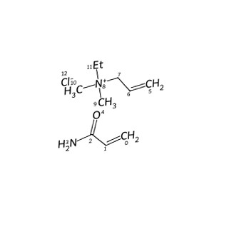 C=CC(N)=O.C=CC[N+](C)(C)CC.[Cl-]